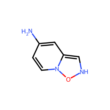 NC1=CC2=CNON2C=C1